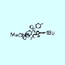 COCC(=O)N1CCC(N(c2cc(C#CC(C)(C)C)sc2C(=O)O)C(=O)[C@H]2CC[C@H](C)CC2)CC1